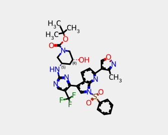 Cc1nocc1-c1ccc2c(-c3nc(N[C@H]4C[C@@H](O)CN(C(=O)OC(C)(C)C)C4)ncc3C(F)(F)F)cn(S(=O)(=O)c3ccccc3)c2n1